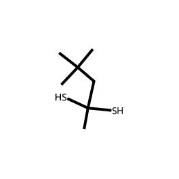 CC(C)(C)CC(C)(S)S